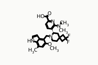 COc1cc(C)c2[nH]ccc2c1CN1CCC2(C[C@H]1c1ccc(C(=O)O)nc1N(C)C)CC(F)(F)C2